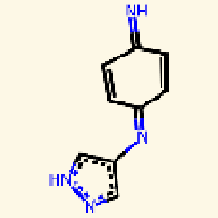 N=C1C=CC(=Nc2cn[nH]c2)C=C1